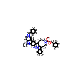 CCN1c2ccc(C3CCCN(C(=O)OCc4ccccc4)CCc4c3[nH]c3ccccc43)cc2[C@H]2CN(Cc3ccccc3)CC[C@H]21